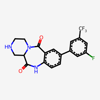 O=C1Nc2ccc(-c3cc(F)cc(C(F)(F)F)c3)cc2C(=O)N2CCNCC12